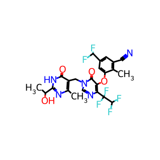 Cc1nc(C(C)O)[nH]c(=O)c1Cn1cnc(C(F)(F)C(F)F)c(Oc2cc(C(F)F)cc(C#N)c2C)c1=O